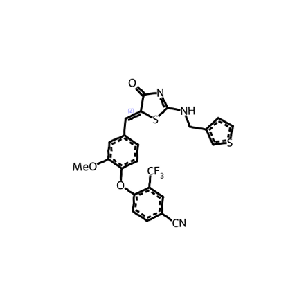 COc1cc(/C=C2\SC(NCc3ccsc3)=NC2=O)ccc1Oc1ccc(C#N)cc1C(F)(F)F